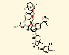 Cc1ncsc1-c1ccc([C@H](C)NC(=O)[C@@H]2C[C@@H](O)CN2C(=O)[C@@H](NC(=O)CN2[C@H]3CC[C@H]2CN(CCCCc2ccc(C(=O)N[C@H]4C(C)(C)[C@H](Oc5ccc(C#N)c(Cl)c5)C4(C)C)cc2)C3)C(C)(C)C)cc1